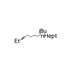 [CH2]CC#CCCCCC(CCCCCC[CH2])C(C)CC